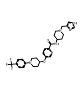 O=C(NC1CCN(Cc2c[nH]cn2)CC1)c1ccc(OC2CCN(c3ccc(C(F)(F)F)cc3)CC2)cn1